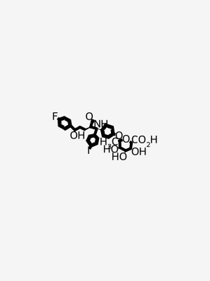 C[C@@]1(Oc2ccc([C@@]3(c4ccc(I)cc4)NC(=O)[C@@H]3CC[C@H](O)c3ccc(F)cc3)cc2)O[C@H](C(=O)O)[C@@H](O)[C@H](O)[C@H]1O